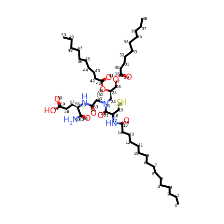 CCCCCCCCCCCCCCCC(=O)NC(CS)C(=O)N(C[C@H](COC(=O)CCCCCCCCC)OC(=O)CCCCCCCCC)[C@@H](C)C(=O)N[C@H](CCC(=O)O)C(N)=O